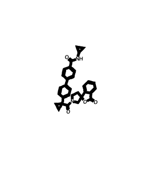 O=C(NC1CC1)c1ccc(-c2ccc(C3(C(=O)N4CCC5(C4)OC(=O)c4ccccc45)CC3)cc2)cc1